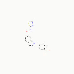 Cc1csc(NC(=O)c2ccc3ccn(Cc4ccc(S(C)(=O)=O)cc4)c3c2)n1